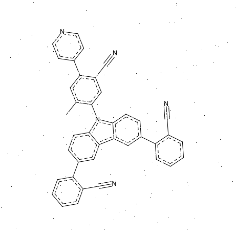 Cc1cc(-c2ccncc2)c(C#N)cc1-n1c2ccc(-c3ccccc3C#N)cc2c2cc(-c3ccccc3C#N)ccc21